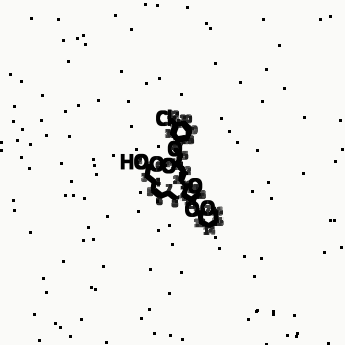 O=C(O)CC/C=C\CC[C@H]1[C@@H](OC2CCCCO2)CO[C@@H]1/C=C/C(=O)COc1cccc(Cl)c1